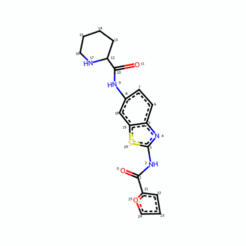 O=C(Nc1nc2ccc(NC(=O)C3CCCCN3)cc2s1)c1ccco1